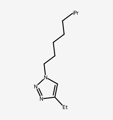 CCc1cn(CCCCCC(C)C)nn1